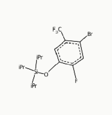 CC(C)[Si](Oc1cc(C(F)(F)F)c(Br)cc1F)(C(C)C)C(C)C